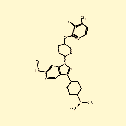 CCNc1cc2c(cn1)c(C1CCC(N(C)C)CC1)nn2C1CCC(Oc2nccc(C(F)(F)F)c2F)CC1